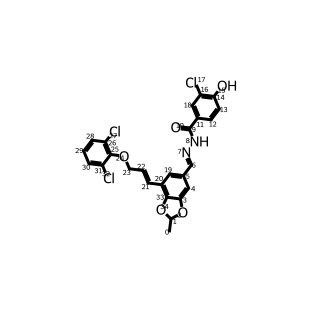 CC1Oc2cc(/C=N/NC(=O)c3ccc(O)c(Cl)c3)cc(/C=C/COc3c(Cl)cccc3Cl)c2O1